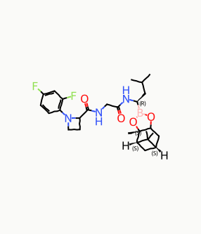 CC(C)C[C@H](NC(=O)CNC(=O)C1CCN1c1ccc(F)cc1F)B1OC2C[C@@H]3C[C@@H](C3(C)C)[C@]2(C)O1